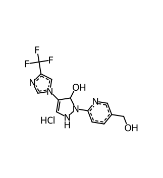 Cl.OCc1ccc(N2NC=C(n3cnc(C(F)(F)F)c3)C2O)nc1